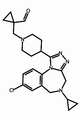 O=CC1(CN2CCC(c3nnc4n3-c3ccc(Cl)cc3CN(C3CC3)C4)CC2)CC1